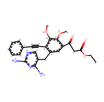 CCOC(=O)CC(=O)c1cc(Cc2cnc(N)nc2N)c(C#Cc2ccccc2)c(OC)c1OC